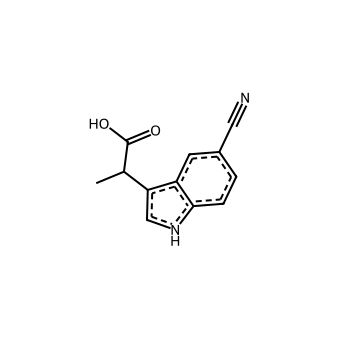 CC(C(=O)O)c1c[nH]c2ccc(C#N)cc12